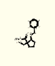 COC(=O)C1(CC(C)C)CCCC1OCc1ccccc1